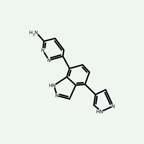 Nc1ccc(-c2ccc(-c3cn[nH]c3)c3cn[nH]c23)nn1